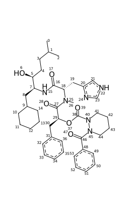 CC(C)CC[C@H](O)[C@H](CC1CCCCC1)NC(=O)[C@H](Cc1c[nH]cn1)N(C)C(=O)[C@H](Cc1ccccc1)OC(=O)N1CCCCN1C(=O)c1ccccc1